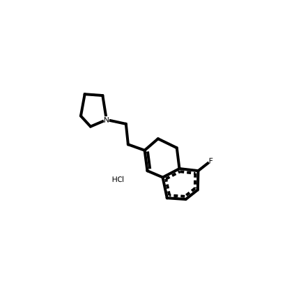 Cl.Fc1cccc2c1CCC(CCN1CCCC1)=C2